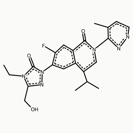 CCn1c(CO)nn(-c2cc3c(C(C)C)cn(-c4nnccc4C)c(=O)c3cc2F)c1=O